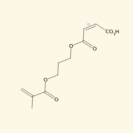 C=C(C)C(=O)OCCCOC(=O)/C=C\C(=O)O